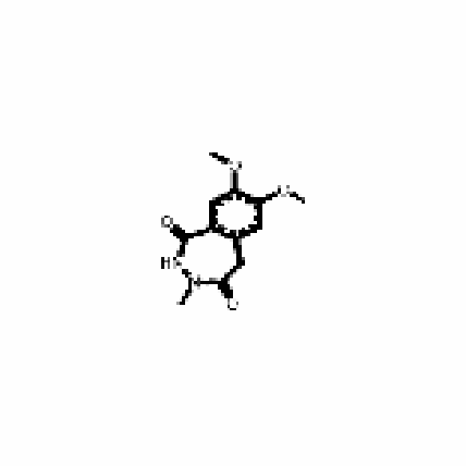 COc1cc2c(cc1OC)C(=O)NN(C)C(=O)C2